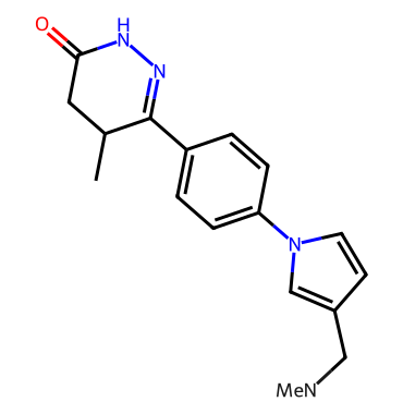 CNCc1ccn(-c2ccc(C3=NNC(=O)CC3C)cc2)c1